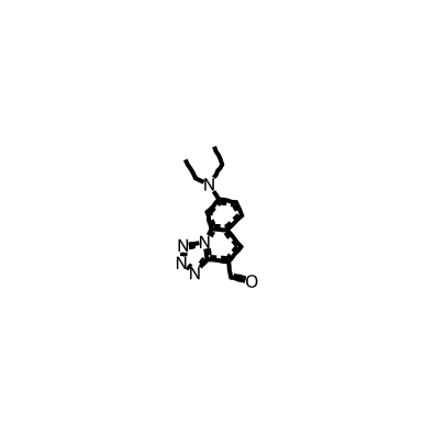 CCN(CC)c1ccc2cc(C=O)c3nnnn3c2c1